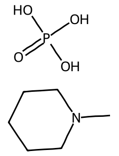 CN1CCCCC1.O=P(O)(O)O